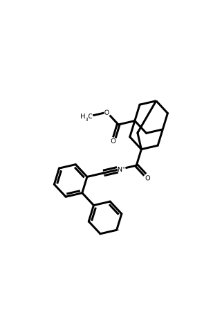 COC(=O)C12CC3CC(CC(C(=O)[N+]#Cc4ccccc4C4=CC[CH]C=C4)(C3)C1)C2